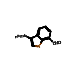 CCCCCc1csc2c(C=O)cccc12